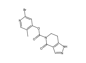 Cc1cnc(Br)cc1OC(=O)N1CCc2[nH]ncc2C1=O